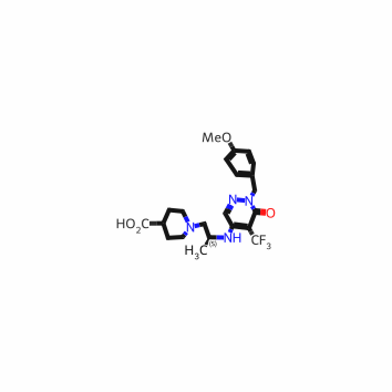 COc1ccc(Cn2ncc(N[C@@H](C)CN3CCC(C(=O)O)CC3)c(C(F)(F)F)c2=O)cc1